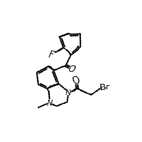 CN1CCN(C(=O)CBr)c2c(C(=O)c3ccccc3F)cccc21